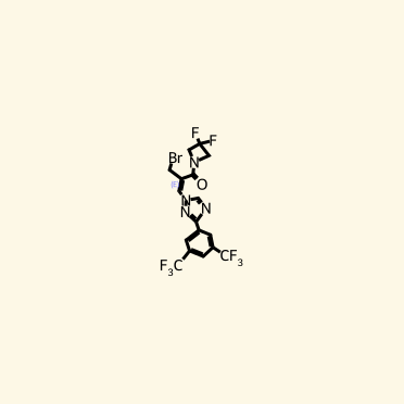 O=C(/C(=C\n1cnc(-c2cc(C(F)(F)F)cc(C(F)(F)F)c2)n1)CBr)N1CC(F)(F)C1